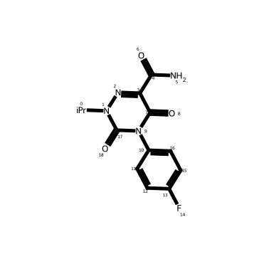 CC(C)n1nc(C(N)=O)c(=O)n(-c2ccc(F)cc2)c1=O